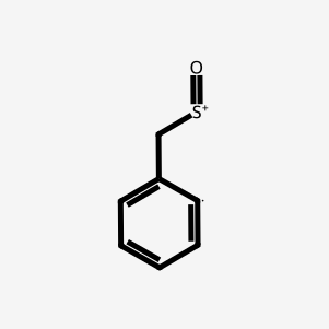 O=[S+]Cc1[c]cccc1